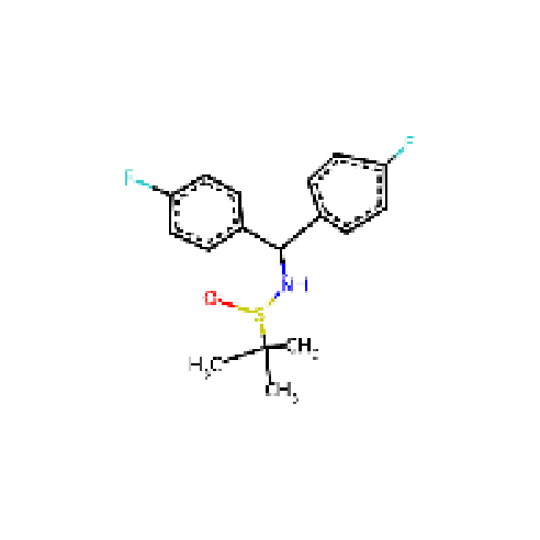 CC(C)(C)[S+]([O-])NC(c1ccc(F)cc1)c1ccc(F)cc1